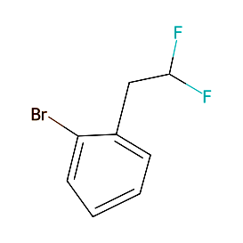 FC(F)Cc1ccccc1Br